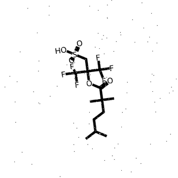 CC(C)CCC(C)(C)C(=O)OC(CS(=O)(=O)O)(C(F)(F)F)C(F)(F)F